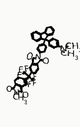 CN1C(=O)c2ccc(C(c3ccc4c(c3)C(=O)N(c3ccc(C5(c6ccc(N(C)C)cc6)c6ccccc6-c6ccccc65)cc3)C4=O)(C(F)(F)F)C(F)(F)F)cc2C1=O